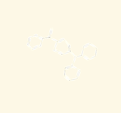 O=C(c1ccccc1)c1ccc(N(C2=CCCC=C2)c2ccccc2)cc1